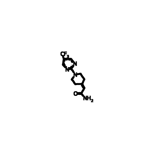 NC(=O)C=C1CCN(c2ncc(C(F)(F)F)cn2)CC1